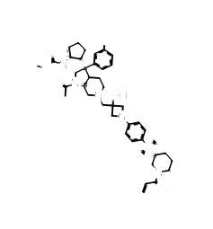 C=CC(=O)N1C[C@H](S(=O)(=O)c2ccc(N3CC(O)(CN4CCC(C(CNC(C)=O)(c5cccc(F)c5)[C@H]5CCC[C@@H]5NC(=O)OC)CC4)C3)cc2)CC[C@@H]1C